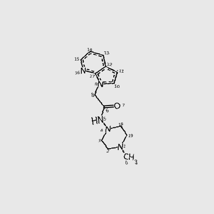 CN1CCN(NC(=O)Cn2c[c]c3cccnc32)CC1